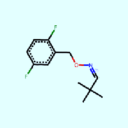 CC(C)(C)/[C]=N\OCc1cc(F)ccc1F